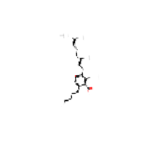 CCCCCc1cc(O)c(C/C=C(\C)CCC=C(C)C)c(C)c1C(=O)O